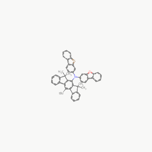 CC(C)(C)c1c2c(c(N(c3ccc4c(c3)oc3ccccc34)c3ccc4c(c3)sc3ccccc34)c3c1-c1ccccc1C3(C)C)C(C)(C)c1ccccc1-2